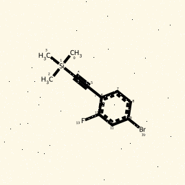 C[Si](C)(C)C#Cc1ccc(Br)cc1F